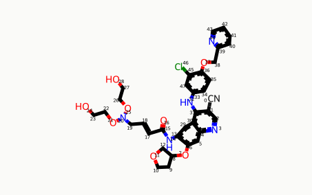 N#Cc1cnc2cc(OC3CCOC3)c(NC(=O)C=CCN(OCCO)OCCO)cc2c1Nc1ccc(OCc2ccccn2)c(Cl)c1